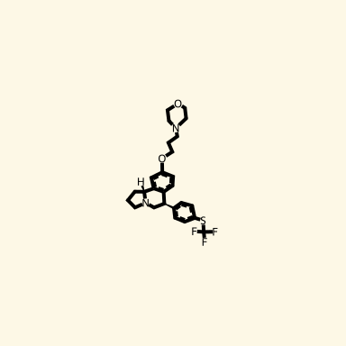 FC(F)(F)Sc1ccc([C@H]2CN3CCC[C@@H]3c3cc(OCCCN4CCOCC4)ccc32)cc1